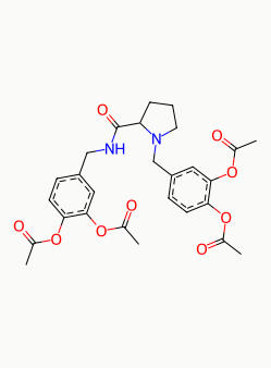 CC(=O)Oc1ccc(CNC(=O)C2CCCN2Cc2ccc(OC(C)=O)c(OC(C)=O)c2)cc1OC(C)=O